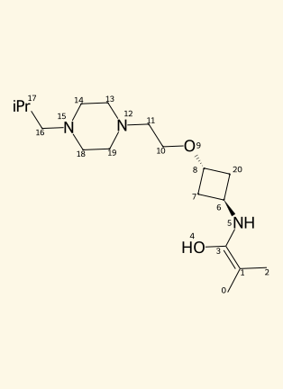 CC(C)=C(O)N[C@H]1C[C@H](OCCN2CCN(CC(C)C)CC2)C1